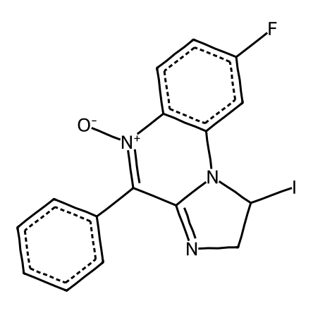 [O-][N+]1=C(c2ccccc2)C2=NCC(I)N2c2cc(F)ccc21